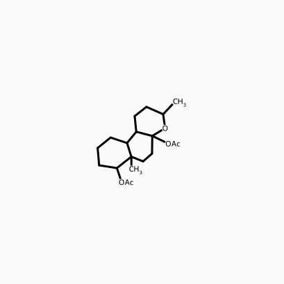 CC(=O)OC1CCCC2C3CCC(C)OC3(OC(C)=O)CCC12C